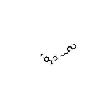 CC(C)(C)Oc1ccc(C(C(=O)O)N2CC[C@@H](OCCCCc3ccc4c(n3)CCCN4)C2)cc1